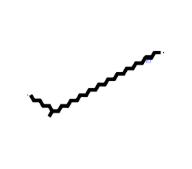 [CH2]C/C=C/CCCCCCCCCCCCCCCCCCCC(C)CCCC[CH2]